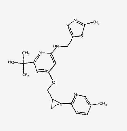 Cc1ccc([C@H]2CC2COc2cc(NCc3nnc(C)s3)nc(C(C)(C)O)n2)nc1